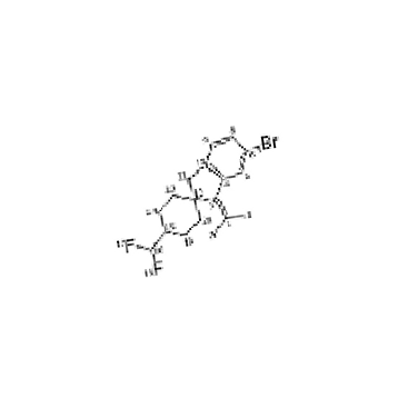 CC(C)=C1c2cc(Br)ccc2CC12CCC(C(F)F)CC2